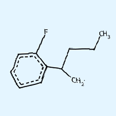 [CH2]C(CCC)c1ccccc1F